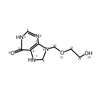 O=c1[nH]cnc2c1NCN2COCCO